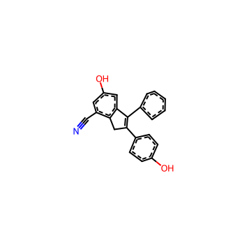 N#Cc1cc(O)cc2c1CC(c1ccc(O)cc1)=C2c1ccccc1